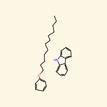 CCCCCCCCCCCCOc1ccccc1.c1ccc2c(c1)[nH]c1ccccc12